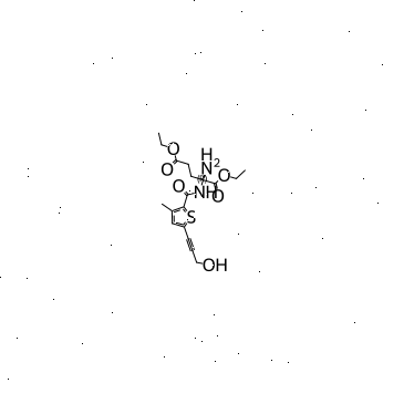 CCOC(=O)CC[C@@](N)(NC(=O)c1sc(C#CCO)cc1C)C(=O)OCC